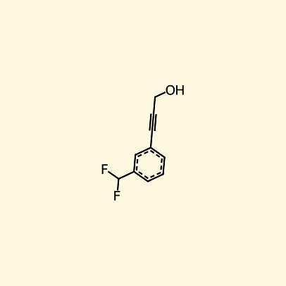 OCC#Cc1cccc(C(F)F)c1